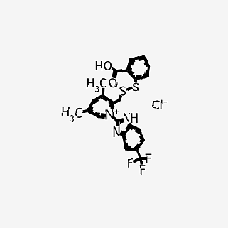 Cc1cc(C)c(CSSc2ccccc2C(=O)O)[n+](-c2nc3cc(C(F)(F)F)ccc3[nH]2)c1.[Cl-]